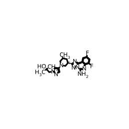 C[C@@H]1C[C@@H](c2nc3c4cc(F)cc(F)c4nc(N)n3n2)CN(c2cnn(CC(C)(C)O)c2)C1